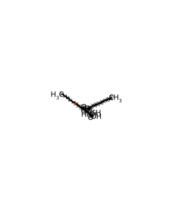 CCCCCCCCCCCCCCCC(=O)OC(CCN[C@@H](CS)C(=O)O)OC(=O)CCCCCCCCCCCCCCC